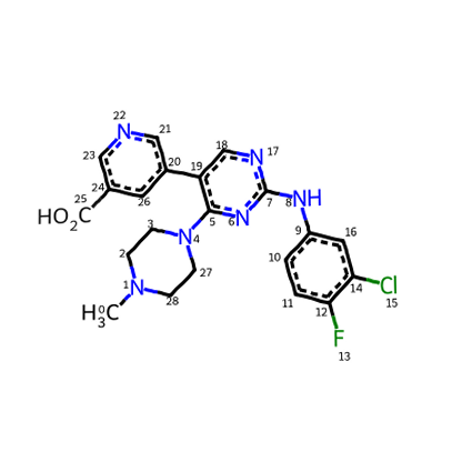 CN1CCN(c2nc(Nc3ccc(F)c(Cl)c3)ncc2-c2cncc(C(=O)O)c2)CC1